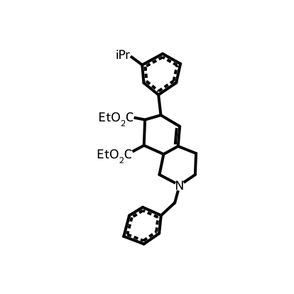 CCOC(=O)C1C2CN(Cc3ccccc3)CCC2=CC(c2cccc(C(C)C)c2)C1C(=O)OCC